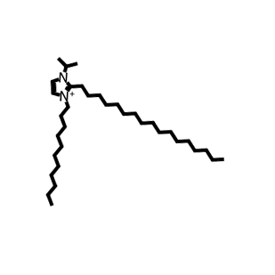 CCCCCCCCCCCCCCCCCc1n(C(C)C)cc[n+]1CCCCCCCCCCC